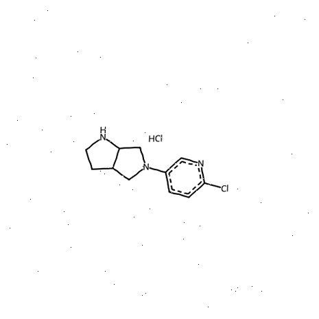 Cl.Clc1ccc(N2CC3CCNC3C2)cn1